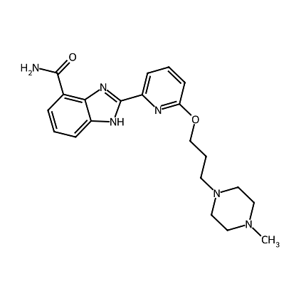 CN1CCN(CCCOc2cccc(-c3nc4c(C(N)=O)cccc4[nH]3)n2)CC1